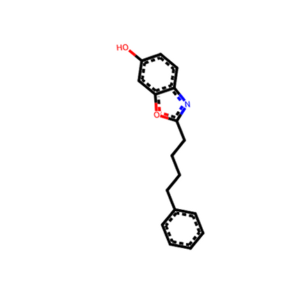 Oc1ccc2nc(CCCCc3ccccc3)oc2c1